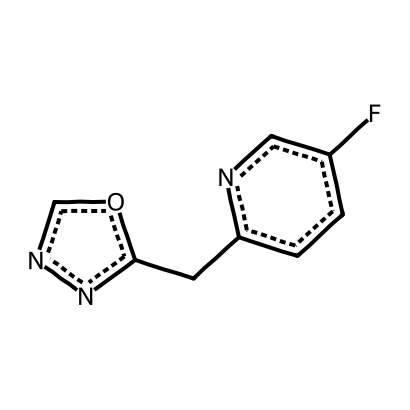 Fc1ccc(Cc2nnco2)nc1